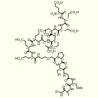 CCNC(=O)[C@H](C)NC(=O)[C@H](CSC)NC(=O)CNC(=O)[C@@H](CC(C)C)NC(=O)[C@@H]1CCCN1C(=O)COCCNC(=O)[C@@H](CCC(=O)O)NC(=O)[C@@H](CCC(=O)O)NC(=O)[C@@H](CCC(=O)O)NC(=O)[C@@H](CCC(=O)O)NC(=O)[C@@H](CCC(=O)O)NC(=O)[C@@H](CCC(=O)O)NC(=O)[C@@H](CCC(=O)O)NC(=O)[C@@H](CCC(=O)O)NC(=O)[C@H](N)CCC(=O)O